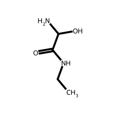 CCNC(=O)C(N)O